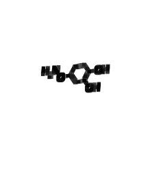 NOc1ccc(O)c(O)c1